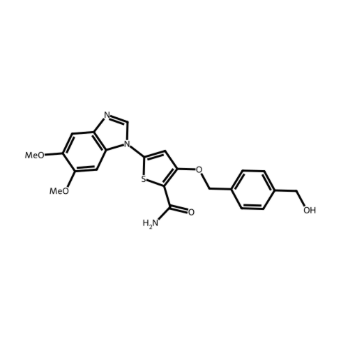 COc1cc2ncn(-c3cc(OCc4ccc(CO)cc4)c(C(N)=O)s3)c2cc1OC